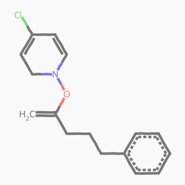 C=C(CCCc1ccccc1)ON1C=CC(Cl)=CC1